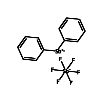 [F][Sb-]([F])([F])([F])([F])[F].c1cc[c]([Sb+][c]2ccccc2)cc1